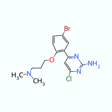 CN(C)CCCOc1ccc(Br)cc1-c1cc(Cl)nc(N)n1